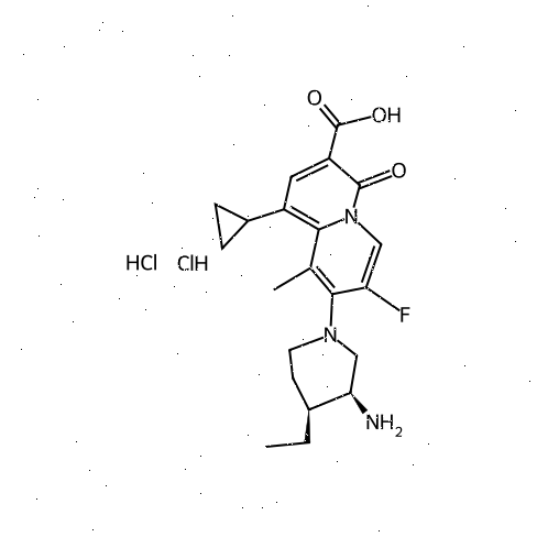 CC[C@H]1CCN(c2c(F)cn3c(=O)c(C(=O)O)cc(C4CC4)c3c2C)C[C@H]1N.Cl.Cl